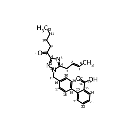 CC=CCc1nc(C(=O)CCCC)nn1Cc1ccc(-c2ccccc2C(=O)O)cc1